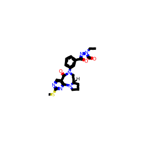 CCn1nc(-c2cccc(N3C[C@@H]4CCCN4c4nc(SC)ncc4C3=O)c2)oc1=O